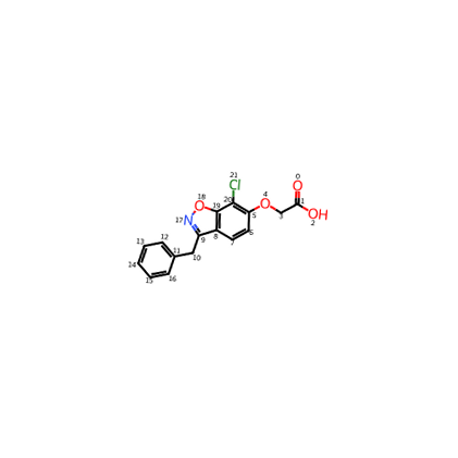 O=C(O)COc1ccc2c(Cc3ccccc3)noc2c1Cl